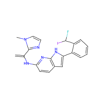 C=C(Nc1ccc2cc(-c3ccccc3C(F)I)[nH]c2n1)c1nccn1C